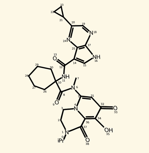 CC(C)N1CCn2c(N(C)C(=O)C3(NC(=O)c4c[nH]c5ncc(C6CC6)nc45)CCCCC3)cc(=O)c(O)c2C1=O